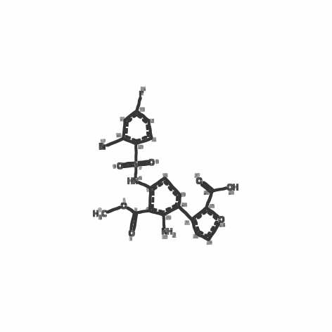 COC(=O)c1c(NS(=O)(=O)c2ccc(F)cc2Br)ccc(-c2ccoc2C(=O)O)c1N